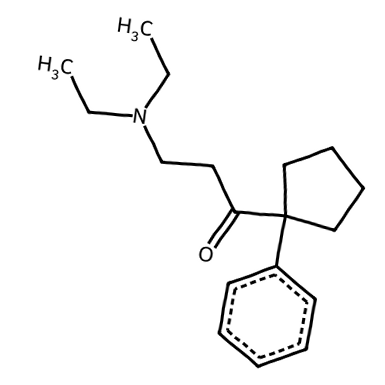 CCN(CC)CCC(=O)C1(c2ccccc2)CCCC1